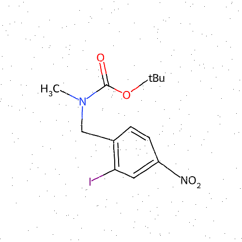 CN(Cc1ccc([N+](=O)[O-])cc1I)C(=O)OC(C)(C)C